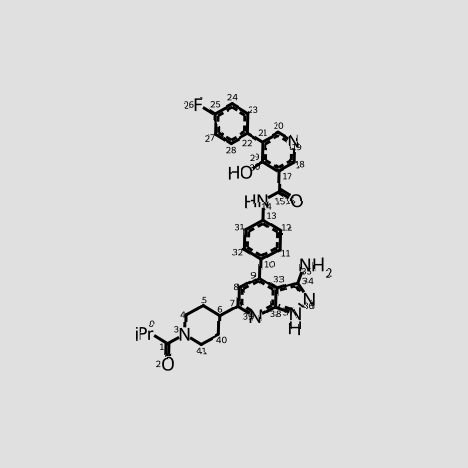 CC(C)C(=O)N1CCC(c2cc(-c3ccc(NC(=O)c4cncc(-c5ccc(F)cc5)c4O)cc3)c3c(N)n[nH]c3n2)CC1